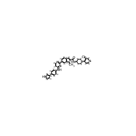 Cn1c(C(=O)NC2CCN(c3ccncc3Cl)CC2)cc2ccc(-c3nccc(Nc4ccc(-c5cn[nH]c5)cc4)n3)cc21